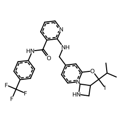 CC(C)C(I)(Oc1cc(CNc2ncccc2C(=O)Nc2ccc(C(F)(F)F)cc2)ccn1)C1CNC1